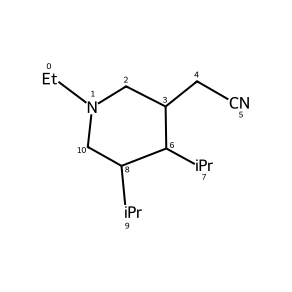 CCN1CC(CC#N)C(C(C)C)C(C(C)C)C1